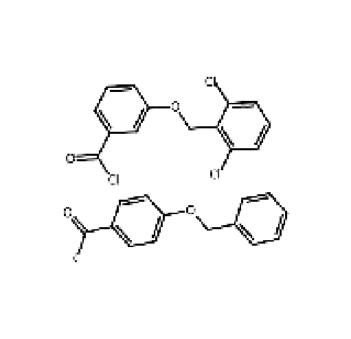 O=C(Cl)c1ccc(OCc2ccccc2)cc1.O=C(Cl)c1cccc(OCc2c(Cl)cccc2Cl)c1